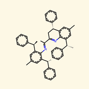 C/C(=N\c1c([C@H](C)c2ccccc2)cc(C)cc1[C@H](C)c1ccccc1)C1=Nc2c([C@H](C)c3ccccc3)cc(C)cc2[C@@H](c2ccccc2)C1